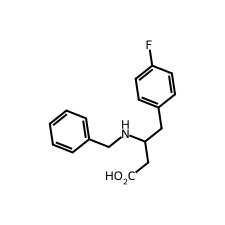 O=C(O)CC(Cc1ccc(F)cc1)NCc1ccccc1